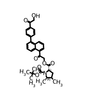 CC1C[C@@H](C(=O)OCC(=O)c2cccc3c(-c4ccc(C(=O)CO)cc4)cccc23)N(C(=O)OC(C)(C)C)[C@@H]1C